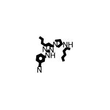 CCCCC(C)N[C@H]1CCN(c2cc(CCC)nc(Nc3cccc(C#N)c3)n2)C1